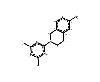 Cc1nc(Cl)nc(N2CCc3cc(Br)ccc3C2)n1